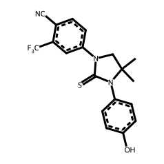 CC1(C)CN(c2ccc(C#N)c(C(F)(F)F)c2)C(=S)N1c1ccc(O)cc1